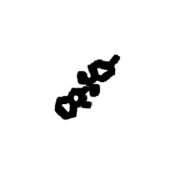 Cc1ccc(S(=O)(=O)c2cc3ccccc3n2C)cc1